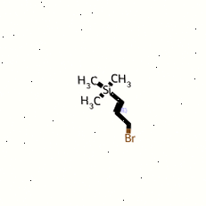 C[Si](C)(C)/C=C/CBr